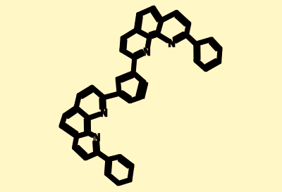 c1cc(-c2ccc3ccc4ccc(C5=CCCC=C5)nc4c3n2)cc(-c2ccc3ccc4ccc(-c5ccccc5)nc4c3n2)c#1